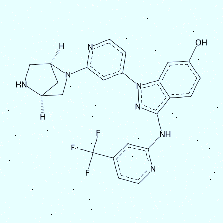 Oc1ccc2c(Nc3cc(C(F)(F)F)ccn3)nn(-c3ccnc(N4C[C@@H]5C[C@H]4CN5)c3)c2c1